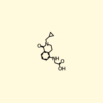 O=C(O)CNc1cccc2c1CCN(CC1CC1)C2=O